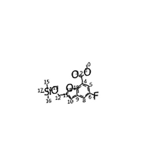 COC(=O)c1cc(F)cc2cc(CO[Si](C)(C)C)oc12